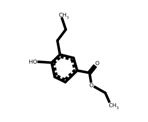 CCCc1cc(C(=O)OCC)ccc1O